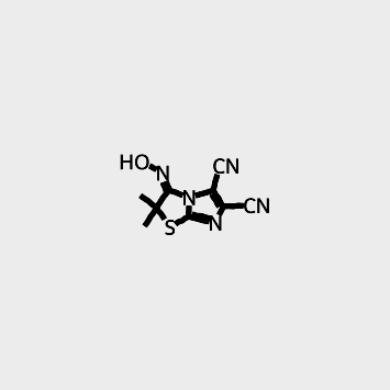 CC1(C)Sc2nc(C#N)c(C#N)n2C1=NO